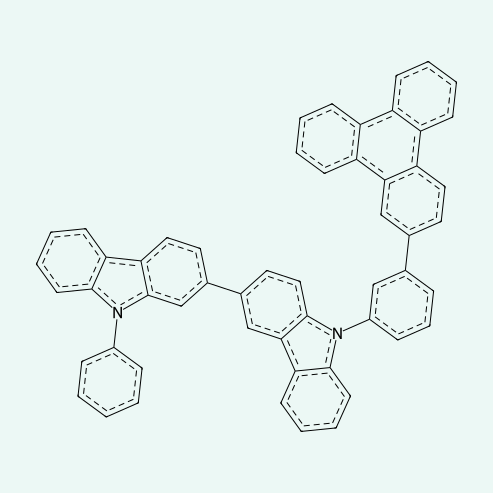 c1ccc(-n2c3ccccc3c3ccc(-c4ccc5c(c4)c4ccccc4n5-c4cccc(-c5ccc6c7ccccc7c7ccccc7c6c5)c4)cc32)cc1